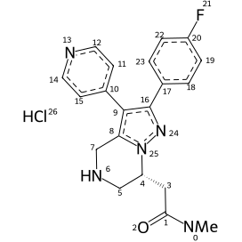 CNC(=O)C[C@@H]1CNCc2c(-c3ccncc3)c(-c3ccc(F)cc3)nn21.Cl